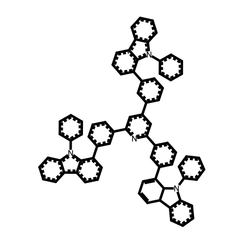 C1=CC2c3ccccc3N(c3ccccc3)C2C(c2cccc(-c3cc(-c4cccc(-c5cccc6c7ccccc7n(-c7ccccc7)c56)c4)cc(-c4cccc(-c5cccc6c7ccccc7n(-c7ccccc7)c56)c4)n3)c2)=C1